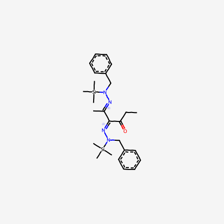 CCC(=O)C(=N\N(Cc1ccccc1)[Si](C)(C)C)/C(C)=N/N(Cc1ccccc1)[Si](C)(C)C